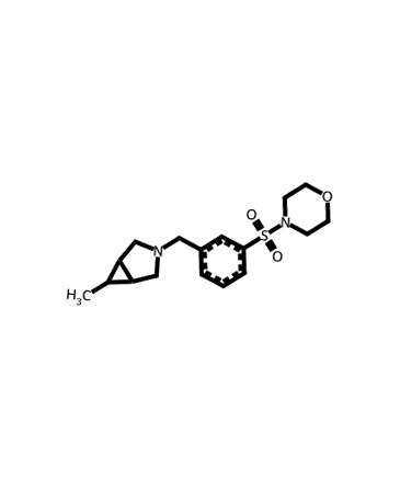 CC1C2CN(Cc3cccc(S(=O)(=O)N4CCOCC4)c3)CC12